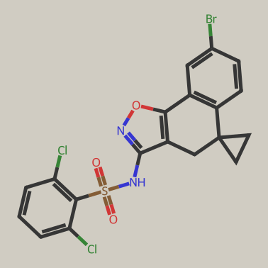 O=S(=O)(Nc1noc2c1CC1(CC1)c1ccc(Br)cc1-2)c1c(Cl)cccc1Cl